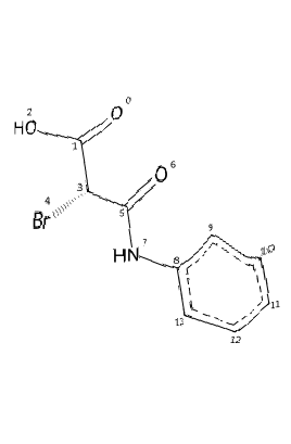 O=C(O)[C@@H](Br)C(=O)Nc1ccccc1